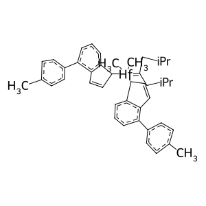 Cc1ccc(-c2cccc3c2C=C[CH]3[Hf]([CH3])([CH3])(=[C](CC(C)C)CC(C)C)[CH]2C=Cc3c(-c4ccc(C)cc4)cccc32)cc1